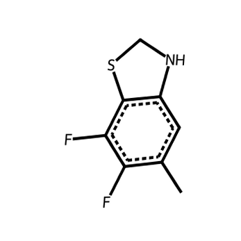 Cc1cc2c(c(F)c1F)SCN2